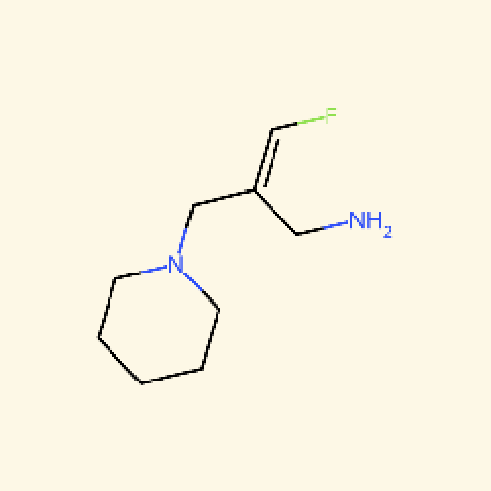 NC/C(=C\F)CN1CCCCC1